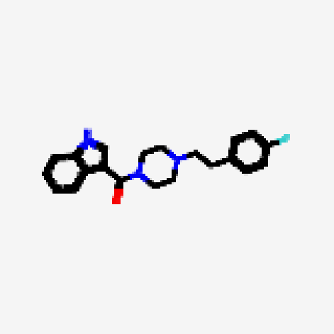 O=C(c1c[nH]c2ccccc12)N1CCN(CCc2ccc(F)cc2)CC1